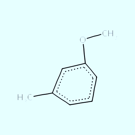 COc1c[c]cc(C)c1